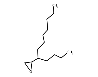 CCCCCCCC(CCCC)C1CO1